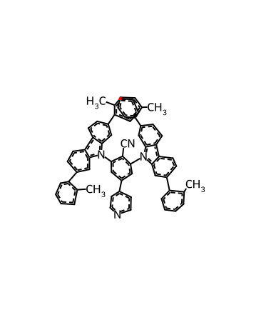 Cc1ccccc1-c1ccc2c3ccc(-c4ccccc4C)cc3n(-c3cc(-c4ccncc4)cc(-n4c5cc(-c6ccccc6C)ccc5c5ccc(-c6ccccc6C)cc54)c3C#N)c2c1